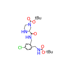 CC(C)(C)OC(=O)NCc1ccc(Cl)cc1CNC(=O)[C@@H]1CN(C(=O)OC(C)(C)C)CCN1